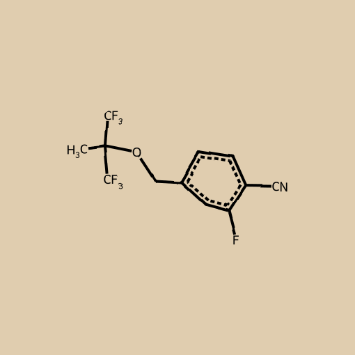 CC(OCc1ccc(C#N)c(F)c1)(C(F)(F)F)C(F)(F)F